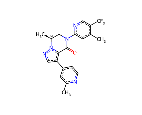 Cc1cc(-c2cnn3c2C(=O)N(c2cc(C)c(C(F)(F)F)cn2)C[C@@H]3C)ccn1